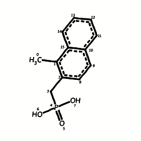 Cc1c(CP(=O)(O)O)ccc2ccccc12